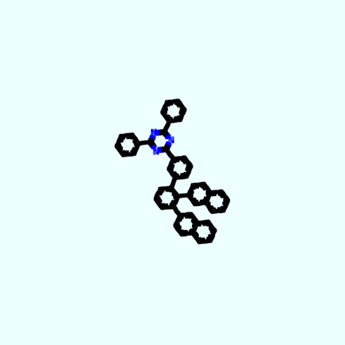 c1ccc(-c2nc(-c3ccccc3)nc(-c3cccc(-c4cccc(-c5ccc6ccccc6c5)c4-c4ccc5ccccc5c4)c3)n2)cc1